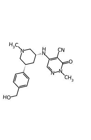 CN1C[C@H](Nc2cnn(C)c(=O)c2C#N)C[C@H](c2ccc(CO)cc2)C1